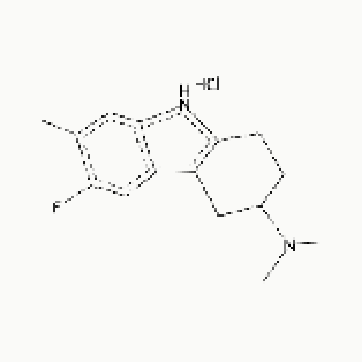 Cc1cc2[nH]c3c(c2cc1F)CC(N(C)C)CC3.Cl